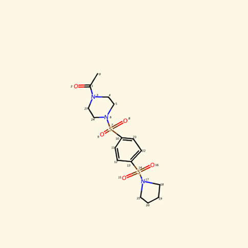 CC(=O)N1CCN(S(=O)(=O)c2ccc(S(=O)(=O)N3CCCC3)cc2)CC1